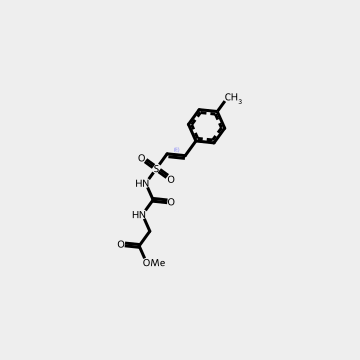 COC(=O)CNC(=O)NS(=O)(=O)/C=C/c1ccc(C)cc1